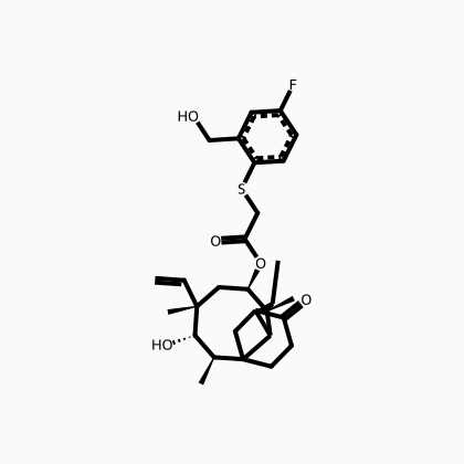 C=C[C@]1(C)C[C@@H](OC(=O)CSc2ccc(F)cc2CO)[C@]2(C)C(C)CC34CC(CCC3=O)(C42)[C@@H](C)[C@@H]1O